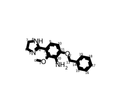 COc1c(C2=NCCN2)ccc(OCc2ccccc2)c1N